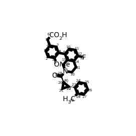 COc1ccc(CC(=O)O)cc1-c1ccc(F)c2c1CN(C(=O)[C@@H]1C[C@H]1c1ccccc1C)CC2